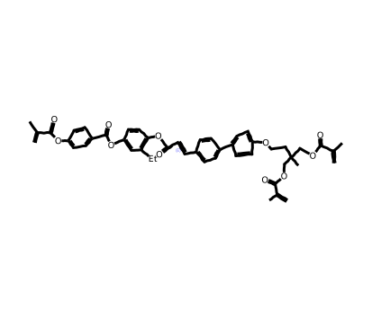 C=C(C)C(=O)OCC(C)(CCOc1ccc(-c2ccc(/C=C/C(=O)Oc3ccc(OC(=O)c4ccc(OC(=O)C(=C)C)cc4)cc3CC)cc2)cc1)COC(=O)C(=C)C